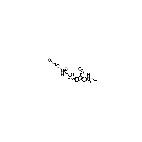 CCCC(=O)Nc1ccc2c(c1)C(COC(C)=O)c1cc(NC(=O)CCCC(=O)NCCOCCCCO)ccc1-2